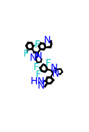 Fc1cc(F)c(-c2nc3n(c2-c2ccc4cn[nH]c4c2)CCC3)cc1F.Fc1cccc(F)c1-c1nc2n(c1-c1ccc3ncccc3c1)CCC2